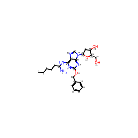 CCCCCC(N)Nc1nc(OCc2ccccc2)nc2c1ncn2[C@H]1CC(O)[C@@H](CO)O1